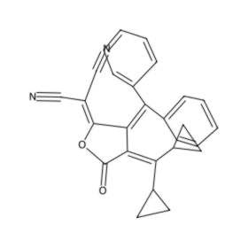 N#CC(C#N)=C1OC(=O)C(=C(C2CC2)C2CC2)C1=C(c1ccccc1)c1ccccc1